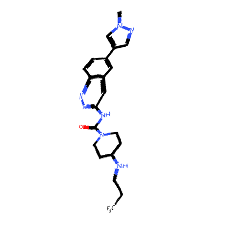 Cn1cc(-c2ccc3nnc(NC(=O)N4CCC(NCCC(F)(F)F)CC4)cc3c2)cn1